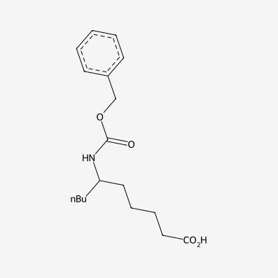 CCCCC(CCCCC(=O)O)NC(=O)OCc1ccccc1